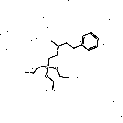 [C]C(CCc1ccccc1)CC[Si](OCC)(OCC)OCC